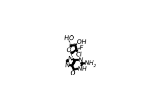 Nc1nc2c(ncn2[C@@H]2O[C@H](CO)[C@@H](O)[C@@]2(F)Cl)c(=O)[nH]1